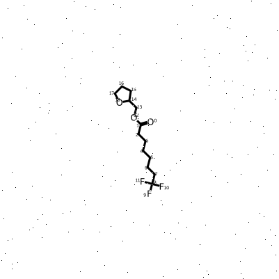 O=C(CCCCCCC(F)(F)F)OCC1CCCO1